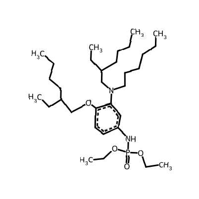 CCCCCCN(CC(CC)CCCC)c1cc(NP(=O)(OCC)OCC)ccc1OCC(CC)CCCC